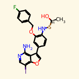 C[C@H](O)SNc1ccc(-c2coc3c(I)cnc(N)c23)cc1OCc1ccc(F)cc1